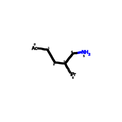 CC(=O)CCC(CN)C(C)C